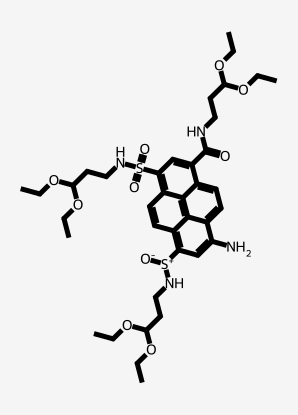 CCOC(CCNC(=O)c1cc(S(=O)(=O)NCCC(OCC)OCC)c2ccc3c([S+]([O-])NCCC(OCC)OCC)cc(N)c4ccc1c2c43)OCC